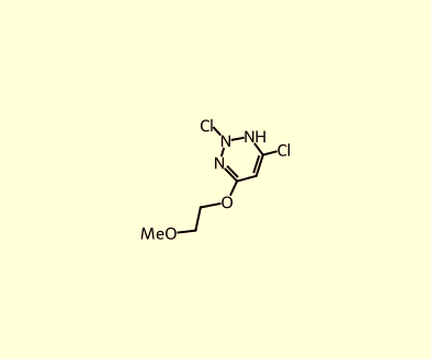 COCCOC1=NN(Cl)NC(Cl)=C1